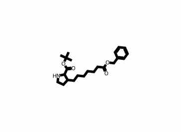 CC(C)(C)OC(=O)C1NCCC1CCCCCCC(=O)OCc1ccccc1